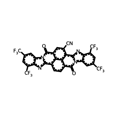 N#Cc1cc2c(=O)n3c4cc(C(F)(F)F)cc(C(F)(F)F)c4nc3c3ccc4c(=O)n5c6cc(C(F)(F)F)cc(C(F)(F)F)c6nc5c1c4c23